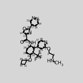 CNCCOc1cc(-c2c(NC(=O)c3coc(-c4ccnnc4)n3)ccc(OC3CCC3)c2C(F)(F)F)ccn1